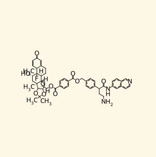 CC1(C)O[C@@H]2C[C@H]3[C@@H]4CCC5=CC(=O)C=C[C@]5(C)[C@@]4(F)[C@@H](O)C[C@]3(C)[C@]2(C(=O)COC(=O)c2ccc(C(=O)OCc3ccc(C(CCN)C(=O)Nc4ccc5cnccc5c4)cc3)cc2)O1